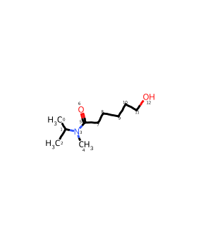 CC(C)N(C)C(=O)CCCCCO